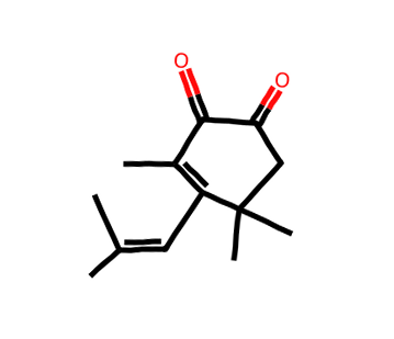 CC(C)=CC1=C(C)C(=O)C(=O)CC1(C)C